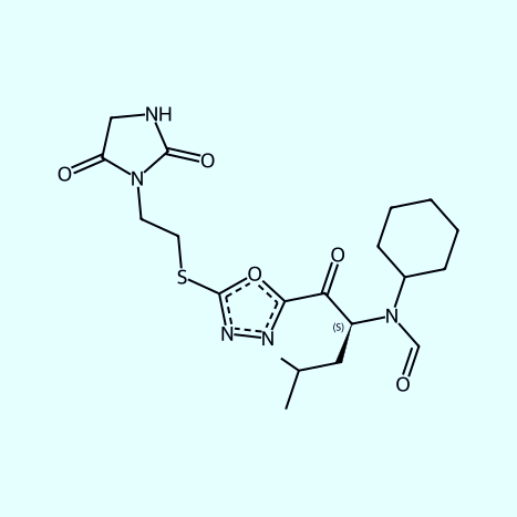 CC(C)C[C@@H](C(=O)c1nnc(SCCN2C(=O)CNC2=O)o1)N(C=O)C1CCCCC1